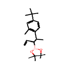 C=CC(B1OC(C)(C)C(C)(C)O1)C(C)c1ccc(C(C)(C)C)cc1C